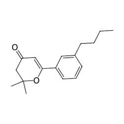 CCCCc1cccc(C2=CC(=O)CC(C)(C)O2)c1